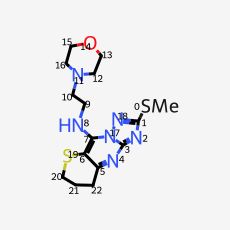 CSc1nc2nc3c(c(NCCN4CCOCC4)n2n1)SCCC3